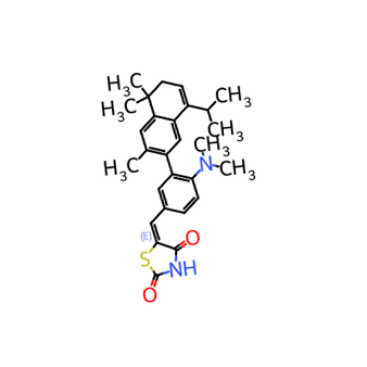 Cc1cc2c(cc1-c1cc(/C=C3/SC(=O)NC3=O)ccc1N(C)C)C(C(C)C)=CCC2(C)C